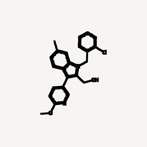 COc1ccc(-c2c(CO)n(Cc3ccccc3Cl)c3cc(C)ccc23)cn1